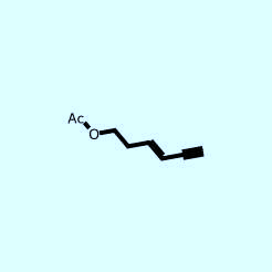 C#C/C=C/CCOC(C)=O